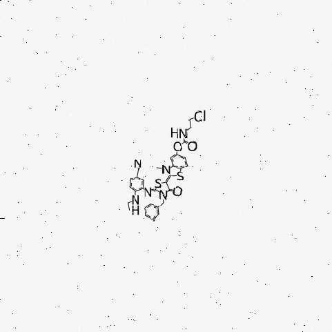 CCNc1ccc(C#N)cc1N=C1SC(=C2Sc3ccc(OC(=O)NCCCl)cc3N2C)C(=O)N1Cc1ccccc1